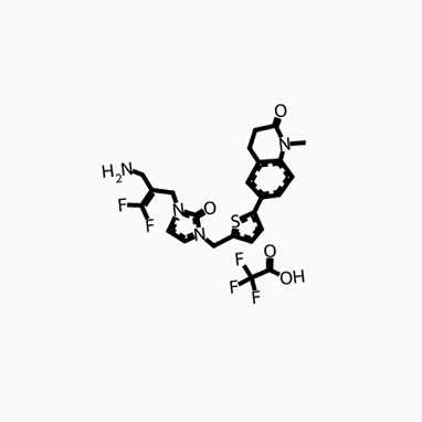 CN1C(=O)CCc2cc(-c3ccc(Cn4ccn(CC(CN)=C(F)F)c4=O)s3)ccc21.O=C(O)C(F)(F)F